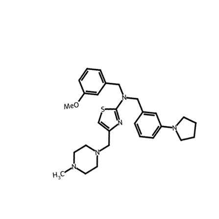 COc1cccc(CN(Cc2cccc(N3CCCC3)c2)c2nc(CN3CCN(C)CC3)cs2)c1